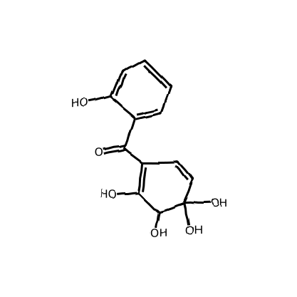 O=C(C1=C(O)C(O)C(O)(O)C=C1)c1ccccc1O